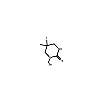 CC1(F)CNC(=O)N(C(C)(C)C)C1